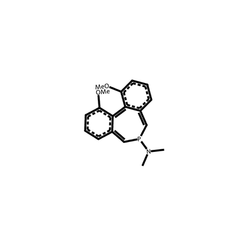 COc1cccc2c1=c1c(OC)cccc1=CP(N(C)C)C=2